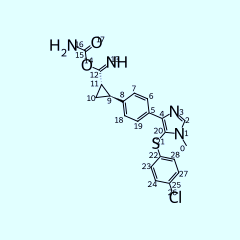 Cn1cnc(-c2ccc([C@H]3C[C@@H]3C(=N)OC(N)=O)cc2)c1Sc1ccc(Cl)cc1